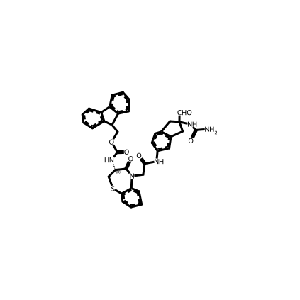 NC(=O)NC1(C=O)Cc2ccc(NC(=O)CN3C(=O)[C@@H](NC(=O)OCC4c5ccccc5-c5ccccc54)CSc4ccccc43)cc2C1